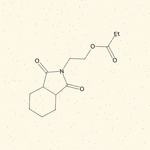 CCC(=O)OCCN1C(=O)C2CCCCC2C1=O